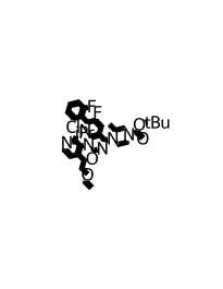 C=COCCc1ccnc(C(C)C)c1-n1c(=O)nc(N2CCN(C(=O)OC(C)(C)C)CC2C)c2cc(F)c(-c3c(F)cccc3Cl)nc21